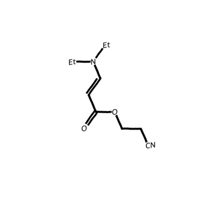 CCN(C=CC(=O)OCCC#N)CC